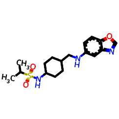 CC(C)S(=O)(=O)NC1CCC(CNc2ccc3ocnc3c2)CC1